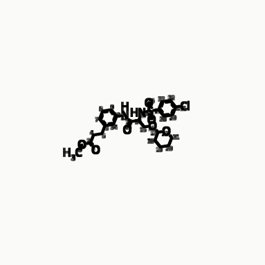 COC(=O)CCc1cccc(NC(=O)C(COC2CCCCO2)NS(=O)(=O)c2ccc(Cl)cc2)c1